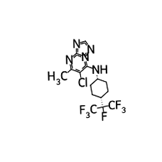 Cc1nc2ncnn2c(N[C@H]2CC[C@@H](C(F)(C(F)(F)F)C(F)(F)F)CC2)c1Cl